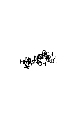 C[C@@H]1OCC2(CCN(c3ncc(Sc4ccnc5c4OCC4(CC4)CN5)nc3CO)CC2)[C@@H]1NC(=O)OC(C)(C)C